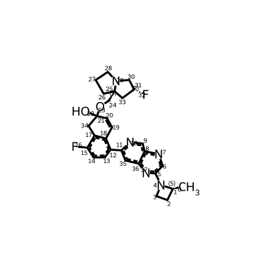 C[C@H]1CCN1c1cnc2cnc(-c3ccc(F)c4c3C=CC(O)(OC[C@@]35CCCN3C[C@H](F)C5)C4)cc2n1